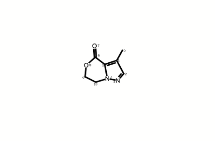 Cc1cnn2c1C(=O)OCC2